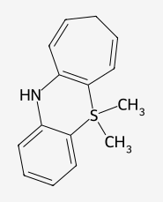 CS1(C)C2=C(C=CCC=C2)Nc2ccccc21